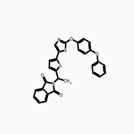 CC(c1ccc(-c2cnc(Oc3ccc(Oc4ccccc4)cc3)s2)s1)N1C(=O)c2ccccc2C1=O